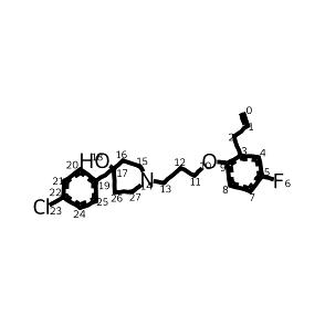 C=CCc1cc(F)ccc1OCCCN1CCC(O)(c2ccc(Cl)cc2)CC1